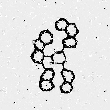 c1ccc2cc(C3=NC(c4ccc5ccc6ccccc6c5c4)=NC(c4c(-c5ccc6ccccc6c5)ccc5oc6ccccc6c45)N3)ccc2c1